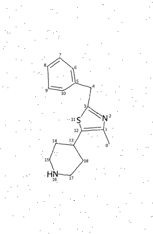 Cc1nc(Cc2ccccc2)sc1C1CCNCC1